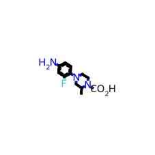 CC1CN(c2ccc(N)cc2F)CCN1C(=O)O